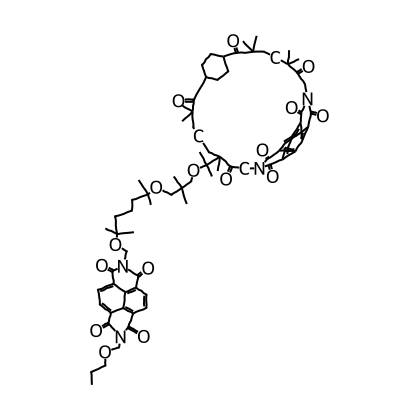 CCCOCN1C(=O)c2ccc3c4c(ccc(c24)C1=O)C(=O)N(COC(C)(C)CCCC(C)(C)OCC(C)(C)COC(C)(C)C1(C)CCCC(C)(C)C(=O)C2CCC(CC2)C(=O)C(C)(C)CCC(C)(C)C(=O)CN2C(=O)c4ccc5c6c(ccc(c46)C2=O)C(=O)N(CC1=O)C5=O)C3=O